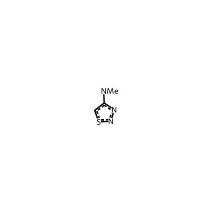 CNc1csnn1